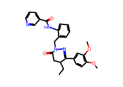 CCC1CC(=O)N(Cc2ccccc2NC(=O)c2cccnc2)N=C1c1ccc(OC)c(OC)c1